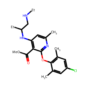 CCNCC(CC)Nc1cc(C)nc(Oc2c(C)cc(Cl)cc2C)c1C(=O)OC